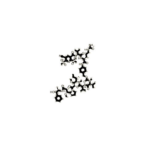 CC[C@H](C)[C@@H]([C@@H](CC(=O)N1CCC[C@H]1[C@H](OC)[C@@H](C)C(=O)N[C@H](C)[C@@H](O)c1ccccc1)OC)N(C)C(=O)[C@@H](NC(=O)[C@H](C(C)C)N(C)C(=O)OCc1ccc(NC(=O)[C@H](CCCNC(N)=O)NC(=O)[C@@H](NC(=O)c2cc(C#N)c(S(C)(=O)=O)nc2S(C)(=O)=O)C(C)C)cc1)C(C)C